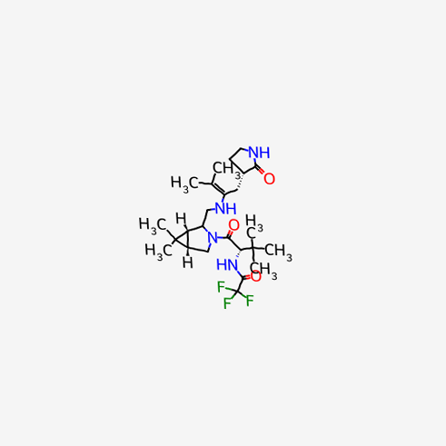 CC(C)=C(C[C@@H]1CCNC1=O)NCC1[C@@H]2[C@H](CN1C(=O)[C@@H](NC(=O)C(F)(F)F)C(C)(C)C)C2(C)C